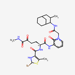 CNC(=O)C(=O)CC[C@H](NC(=O)C1=C(C)SC(Br)N1)C(=O)Nc1cccn(CC(=O)NC2C(C)CC3CCCC2C3)c1=O